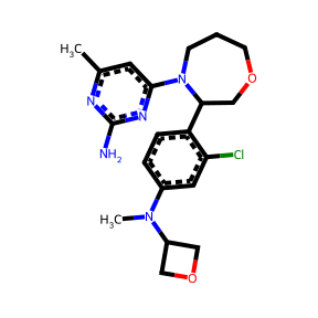 Cc1cc(N2CCCOCC2c2ccc(N(C)C3COC3)cc2Cl)nc(N)n1